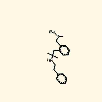 CN(Cc1ccccc1CC(C)(C)NCCc1ccccc1)C(C)(C)C